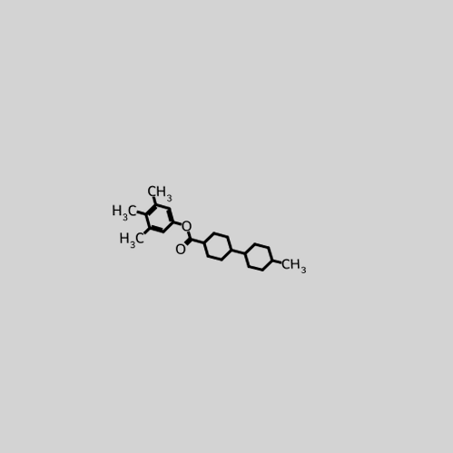 Cc1cc(OC(=O)C2CCC(C3CCC(C)CC3)CC2)cc(C)c1C